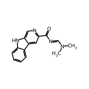 CN(C)C=NC(=O)c1cc2c(cn1)[nH]c1ccccc12